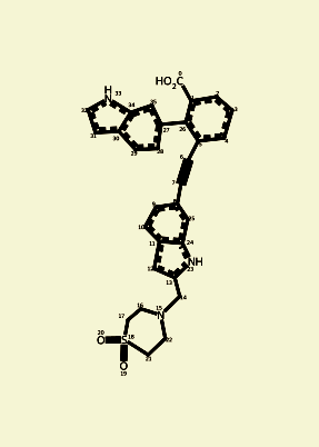 O=C(O)c1cccc(C#Cc2ccc3cc(CN4CCS(=O)(=O)CC4)[nH]c3c2)c1-c1ccc2cc[nH]c2c1